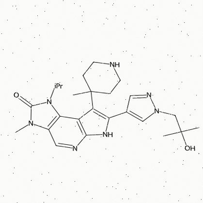 CC(C)n1c(=O)n(C)c2cnc3[nH]c(-c4cnn(CC(C)(C)O)c4)c(C4(C)CCNCC4)c3c21